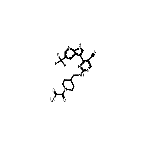 CC(=O)C(=O)N1CCC(CNc2ncc(C#N)c(-c3c[nH]c4ncc(C(F)(F)F)cc34)n2)CC1